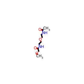 COCC(=O)NCCOCCNC(C)=O